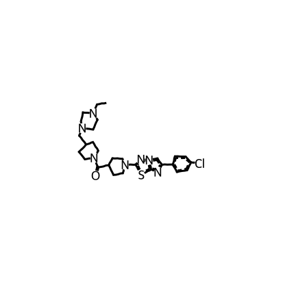 CCN1CCN(CC2CCN(C(=O)C3CCN(c4nn5cc(-c6ccc(Cl)cc6)nc5s4)CC3)CC2)CC1